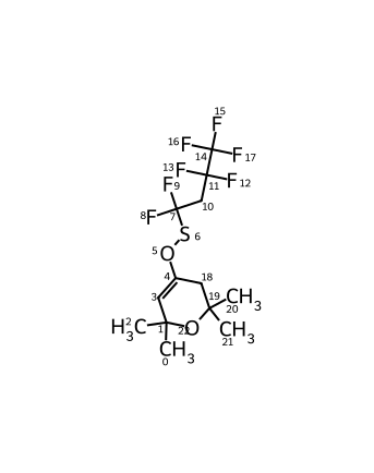 CC1(C)C=C(OSC(F)(F)CC(F)(F)C(F)(F)F)CC(C)(C)O1